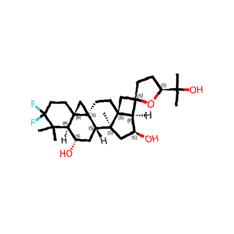 CC(C)(O)[C@@H]1CC[C@@]2(C[C@]34CC[C@@]56C[C@@]57CCC(F)(F)C(C)(C)[C@@H]7[C@@H](O)C[C@H]6[C@]3(C)C[C@H](O)[C@H]24)O1